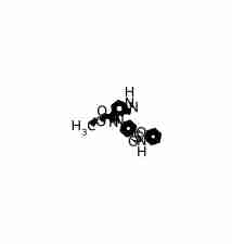 CCOC(=O)c1nn(-c2ccc(S(=O)(=O)Nc3ccccc3)cc2)c2c1CCc1[nH]ncc1-2